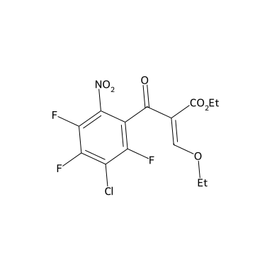 CCOC=C(C(=O)OCC)C(=O)c1c(F)c(Cl)c(F)c(F)c1[N+](=O)[O-]